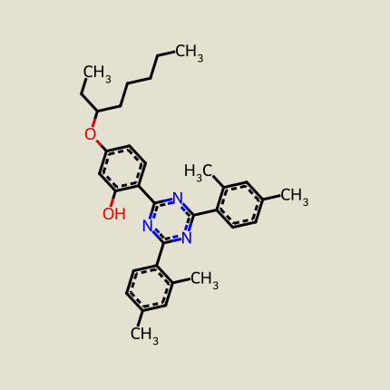 CCCCCC(CC)Oc1ccc(-c2nc(-c3ccc(C)cc3C)nc(-c3ccc(C)cc3C)n2)c(O)c1